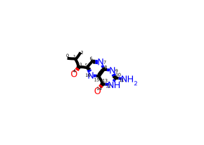 CC(C)C(=O)c1cnc2nc(N)[nH]c(=O)c2n1